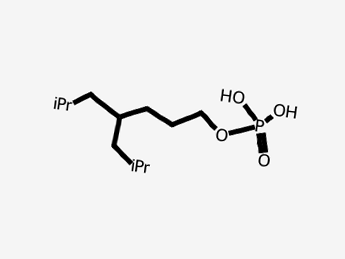 CC(C)CC(CCCOP(=O)(O)O)CC(C)C